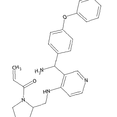 C=CC(=O)N1CCCC1CNc1ccncc1C(N)c1ccc(Oc2ccccc2)cc1